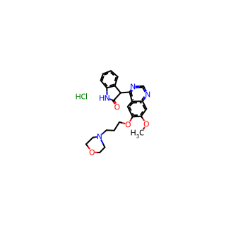 COc1cc2ncnc(C3C(=O)Nc4ccccc43)c2cc1OCCCN1CCOCC1.Cl